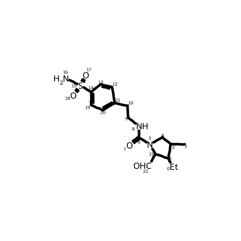 CCC1C(C)CN(C(=O)NCCc2ccc(S(N)(=O)=O)cc2)C1C=O